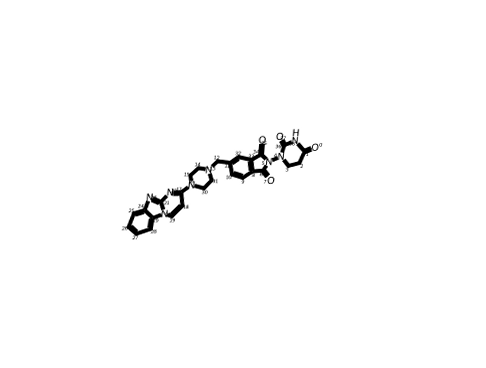 O=C1CCN(N2C(=O)c3ccc(CN4CCN(c5ccn6c(n5)nc5ccccc56)CC4)cc3C2=O)C(=O)N1